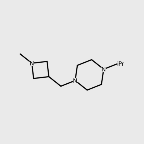 CC(C)N1CCN(CC2CN(C)C2)CC1